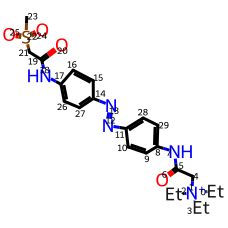 CC[N+](CC)(CC)CC(=O)Nc1ccc(/N=N/c2ccc(NC(=O)CS(C)(=O)=O)cc2)cc1